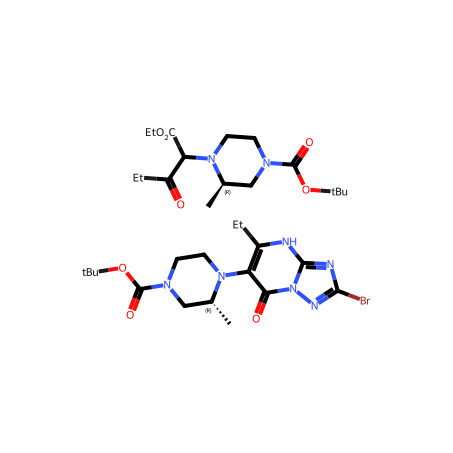 CCOC(=O)C(C(=O)CC)N1CCN(C(=O)OC(C)(C)C)C[C@H]1C.CCc1[nH]c2nc(Br)nn2c(=O)c1N1CCN(C(=O)OC(C)(C)C)C[C@H]1C